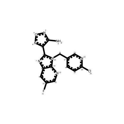 Nc1nonc1-c1nc2cc(F)cnc2n1Cc1ccc(Cl)nc1